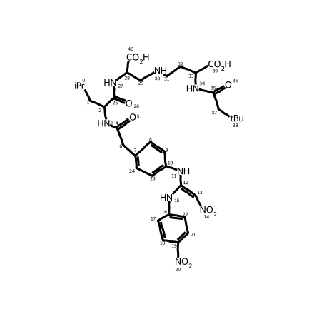 CC(C)CC(NC(=O)Cc1ccc(NC(=C[N+](=O)[O-])Nc2ccc([N+](=O)[O-])cc2)cc1)C(=O)NC(CNCCC(NC(=O)CC(C)(C)C)C(=O)O)C(=O)O